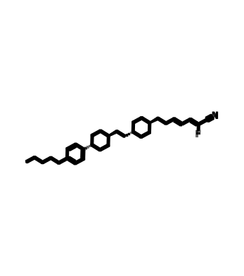 CCCCCc1ccc([C@H]2CC[C@H](CC[C@H]3CC[C@H](CCC=CC=C(F)C#N)CC3)CC2)cc1